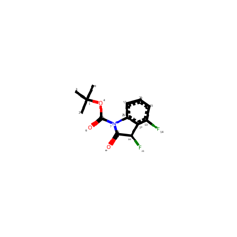 CC(C)(C)OC(=O)N1C(=O)C(F)c2c(F)cccc21